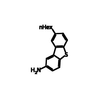 CCCCCCc1ccc2sc3ccc(N)cc3c2c1